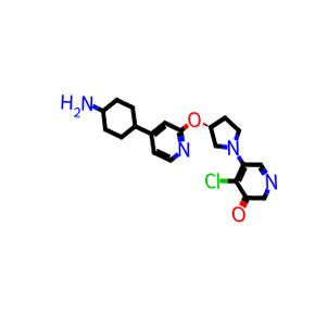 NC1CCC(c2ccnc(O[C@@H]3CCN(C4=C(Cl)C(=O)CN=C4)C3)c2)CC1